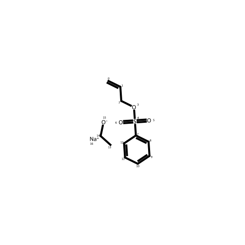 C=CCOS(=O)(=O)c1ccccc1.CC[O-].[Na+]